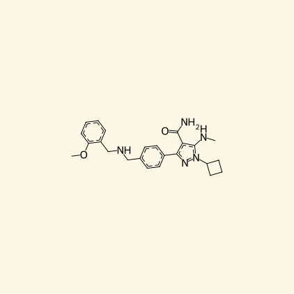 CNc1c(C(N)=O)c(-c2ccc(CNCc3ccccc3OC)cc2)nn1C1CCC1